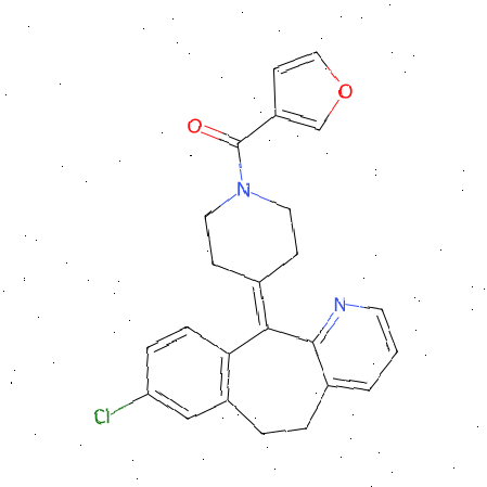 O=C(c1ccoc1)N1CCC(=C2c3ccc(Cl)cc3CCc3cccnc32)CC1